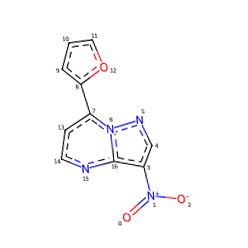 O=[N+]([O-])c1cnn2c(-c3ccco3)ccnc12